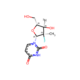 [2H][C@@]1(O)[C@@H](CO)O[C@@H](n2ccc(=O)[nH]c2=O)[C@]1(C)F